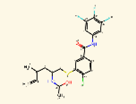 C=CC(C)CC(CSc1cc(C(=O)Nc2cc(F)c(F)c(F)c2)ccc1Cl)NC(C)O